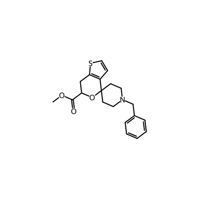 COC(=O)C1Cc2sccc2C2(CCN(Cc3ccccc3)CC2)O1